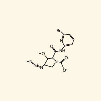 N=[N+]=NC1CN(C(=O)[O-])C(C(=O)Nc2cccc(Br)n2)C1O